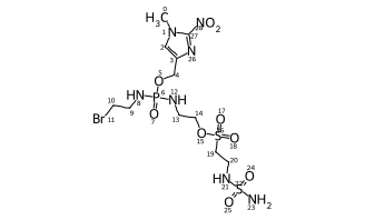 Cn1cc(COP(=O)(NCCBr)NCCOS(=O)(=O)CCNS(N)(=O)=O)nc1[N+](=O)[O-]